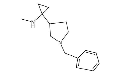 CNC1(C2CCN(Cc3ccccc3)C2)CC1